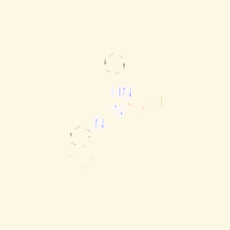 O=C(NC(CS)Cc1ccccc1)N1CCN(c2cccc(C(F)(F)F)c2)CC1